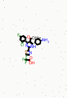 COC(=O)C1=C([C@H]2CC[C@H](N)CC2)NC(c2nccs2)=NC1c1ccc(F)cc1Cl.O=C(O)C(F)(F)F